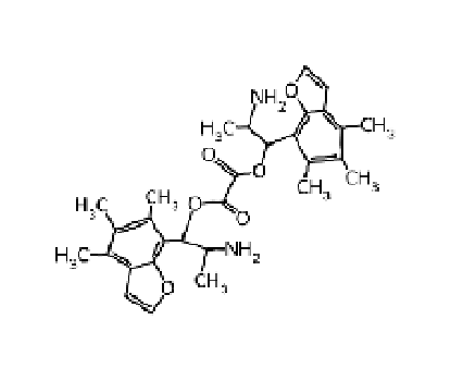 Cc1c(C)c(C(OC(=O)C(=O)OC(c2c(C)c(C)c(C)c3ccoc23)C(C)N)C(C)N)c2occc2c1C